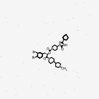 CN1CCC(C2CCN(C(=O)[C@@H](Cc3ccc(Br)c(Br)c3)OC(=O)N3CCC(n4nc(-c5ccccc5)[nH]c4=O)CC3)CC2)CC1